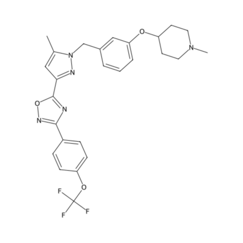 Cc1cc(-c2nc(-c3ccc(OC(F)(F)F)cc3)no2)nn1Cc1cccc(OC2CCN(C)CC2)c1